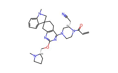 C=CC(=O)N1CCN(c2nc(OC[C@@H]3CCCN3C)nc3c2CCC2(C3)CN(C)c3ccccc32)C[C@@H]1CC#N